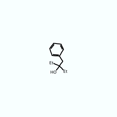 CCC(O)(CC)Cc1ccccc1